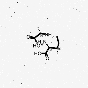 CC[C@H](C)[C@H](N)C(=O)O.C[C@H](N)C(=O)O